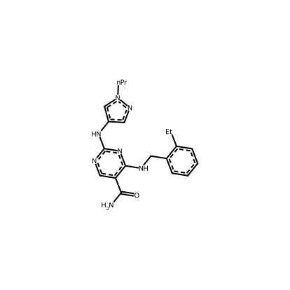 CCCn1cc(Nc2ncc(C(N)=O)c(NCc3ccccc3CC)n2)cn1